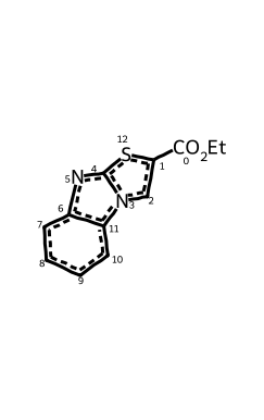 CCOC(=O)c1cn2c(nc3ccccc32)s1